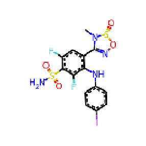 CN1C(c2cc(F)c(S(N)(=O)=O)c(F)c2Nc2ccc(I)cc2)=NOS1=O